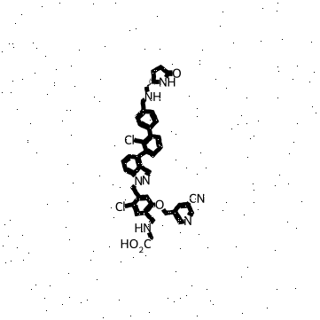 N#Cc1cncc(COc2cc(Cn3ncc4c(-c5cccc(-c6ccc(CNC[C@@H]7CCC(=O)N7)cc6)c5Cl)cccc43)c(Cl)cc2CNCC(=O)O)c1